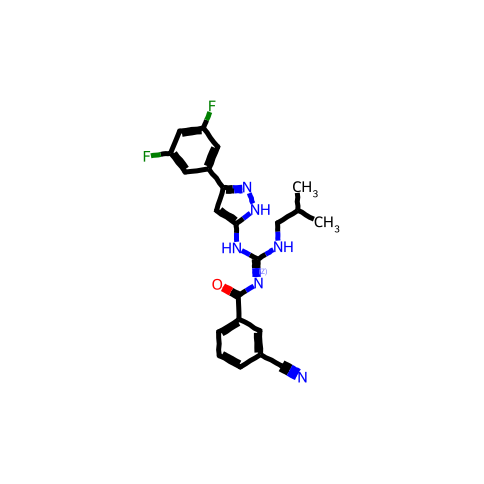 CC(C)CN/C(=N/C(=O)c1cccc(C#N)c1)Nc1cc(-c2cc(F)cc(F)c2)n[nH]1